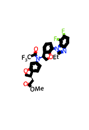 CCc1nc2ccc(F)c(F)c2n1-c1cccc2c1OC[C@H]2N(C(=O)C(F)(F)F)c1ccc2c(c1)OC[C@H]2CC(=O)OC